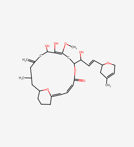 C=C1CC(C)CC2CCCC(=CC=CC(=O)OC(C(O)C=CC3CC(C)=CCO3)CC(OC)=C(O)C(O)C1)O2